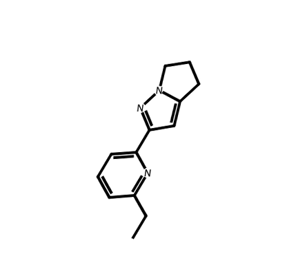 CCc1cccc(-c2cc3n(n2)CCC3)n1